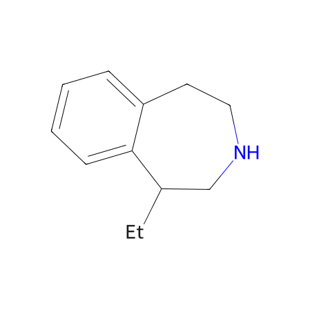 CCC1CNCCc2ccccc21